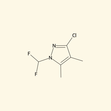 Cc1c(Cl)nn(C(F)F)c1C